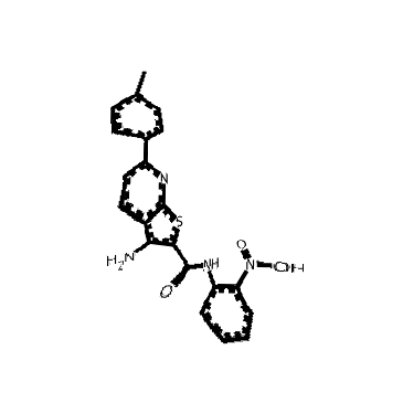 Cc1ccc(-c2ccc3c(N)c(C(=O)Nc4ccccc4[N+](=O)O)sc3n2)cc1